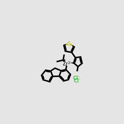 C[C](C)=[Zr+2]([C]1=C(c2ccsc2)C=CC1C)[c]1cccc2c1Cc1ccccc1-2.[Cl-].[Cl-]